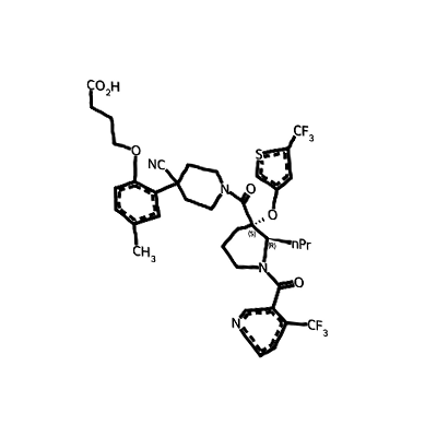 CCC[C@H]1N(C(=O)c2cnccc2C(F)(F)F)CCC[C@@]1(Oc1csc(C(F)(F)F)c1)C(=O)N1CCC(C#N)(c2cc(C)ccc2OCCCC(=O)O)CC1